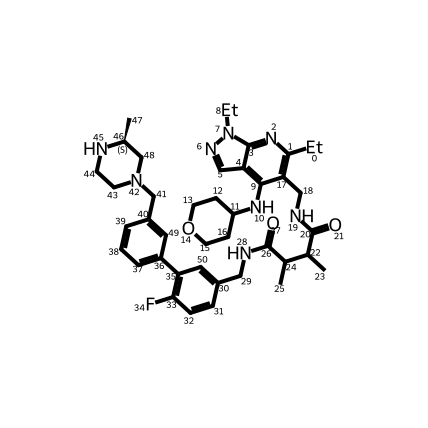 CCc1nc2c(cnn2CC)c(NC2CCOCC2)c1CNC(=O)C(C)C(C)C(=O)NCc1ccc(F)c(-c2cccc(CN3CCN[C@@H](C)C3)c2)c1